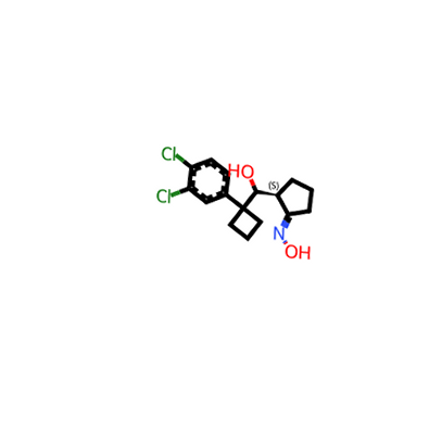 ON=C1CCC[C@@H]1C(O)C1(c2ccc(Cl)c(Cl)c2)CCC1